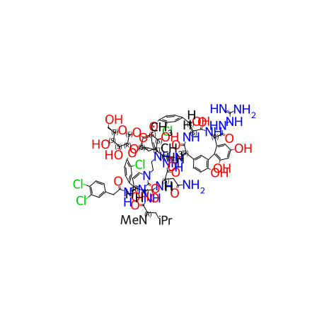 CN[C@H](CC(C)C)C(=O)N[C@H]1C(=O)N[C@@H](CC(N)=O)C(=O)N[C@H]2C(=O)N[C@H]3C(=O)N[C@H](C(=O)N[C@@H](C(=O)NNC(=N)N)c4cc(O)cc(O)c4-c4cc3ccc4O)[C@H](O)c3ccc(c(Cl)c3)Oc3cc2cc(c3O[C@@H]2O[C@H](CO)[C@@H](O)[C@H](O)[C@H]2O[C@H]2C[C@](C)(NCCn3ccc(NC(=O)Cc4ccc(Cl)c(Cl)c4)nc3=O)[C@H](O)[C@H](C)O2)Oc2ccc(cc2Cl)[C@H]1O